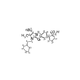 CCCCc1c(C)n(CCC2CCCCC2)c(=O)n1Cc1ccc(-c2ccccc2C(=O)O)cc1